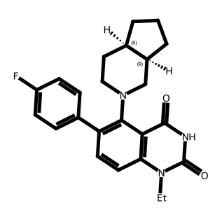 CCn1c(=O)[nH]c(=O)c2c(N3CC[C@H]4CCC[C@H]4C3)c(-c3ccc(F)cc3)ccc21